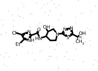 CCc1[nH]c(C(=O)NC2CCN(c3nnc([C@@H](C)O)s3)CC2O)nc1Cl